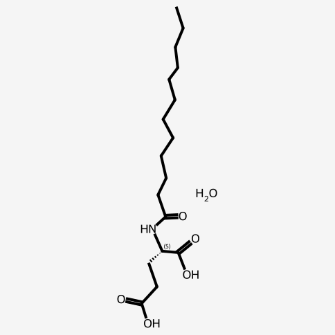 CCCCCCCCCCCC(=O)N[C@@H](CCC(=O)O)C(=O)O.O